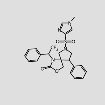 Cn1cnc(S(=O)(=O)N2CC(c3ccccc3)C3(COC(=O)N3C(c3ccccc3)C(F)(F)F)C2)c1